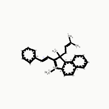 CC(C)=CCC1(C)C(/C=C/c2ccccc2)=[N+](C)c2ccc3ccccc3c21